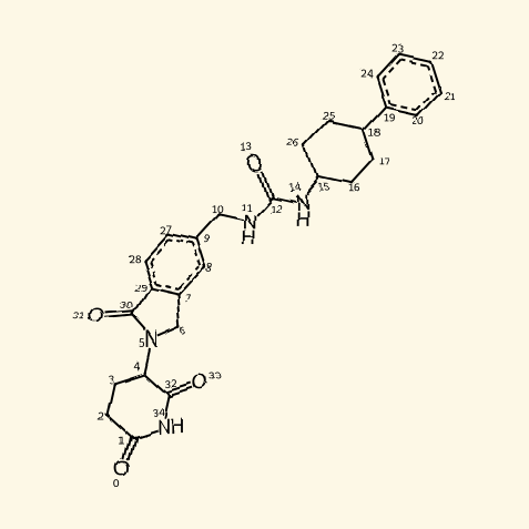 O=C1CCC(N2Cc3cc(CNC(=O)NC4CCC(c5ccccc5)CC4)ccc3C2=O)C(=O)N1